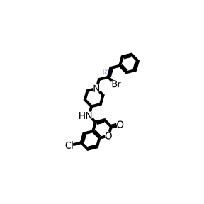 O=c1cc(NC2CCN(C/C(Br)=C/c3ccccc3)CC2)c2cc(Cl)ccc2o1